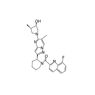 Cc1cn2nc([C@@H]3CCCCN3C(=O)c3ccc4cccc(F)c4n3)cc2nc1N1C[C@@H](C)[C@@H](O)C1